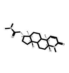 CN(C)C(=O)C[C@H]1CC[C@H]2C3CC[C@H]4N(C)C(=O)C=C[C@]4(C)C3CC[C@]12C